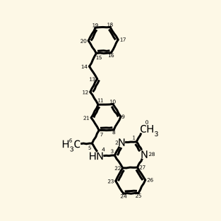 Cc1nc(NC(C)c2cccc(/C=C/Cc3ccccc3)c2)c2ccccc2n1